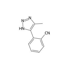 Cc1nn[nH]c1-c1ccccc1C#N